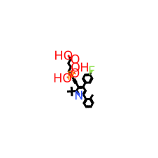 Cc1ccccc1-c1cc(-c2ccc(F)cc2)c(C#CP(=O)(O)CC(O)CC(=O)O)c(C(C)(C)C)n1